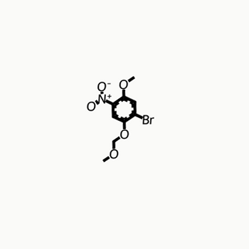 COCOc1cc([N+](=O)[O-])c(OC)cc1Br